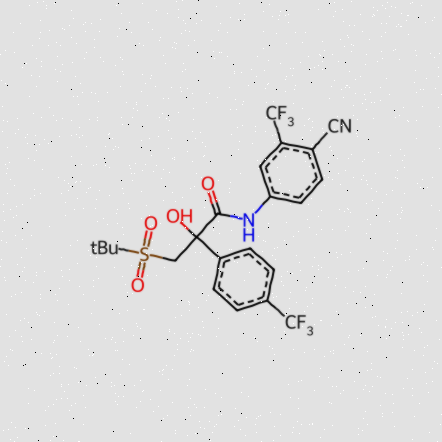 CC(C)(C)S(=O)(=O)CC(O)(C(=O)Nc1ccc(C#N)c(C(F)(F)F)c1)c1ccc(C(F)(F)F)cc1